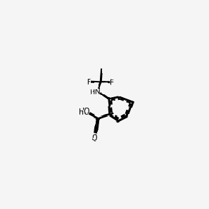 CC(F)(F)Nc1ccccc1C(=O)O